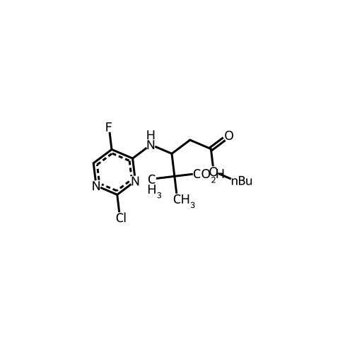 CCCCOC(=O)CC(Nc1nc(Cl)ncc1F)C(C)(C)C(=O)O